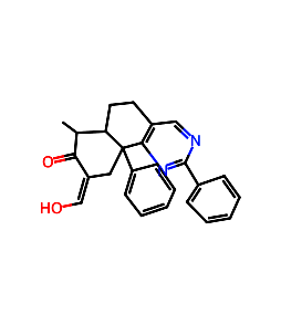 CC1C(=O)C(=CO)CC2(c3ccccc3)c3nc(-c4ccccc4)ncc3CCC12